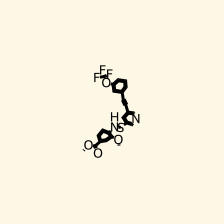 COC(=O)c1ccc(NSc2cncc(C#Cc3cccc(OC(F)(F)F)c3)c2)c(OC)c1